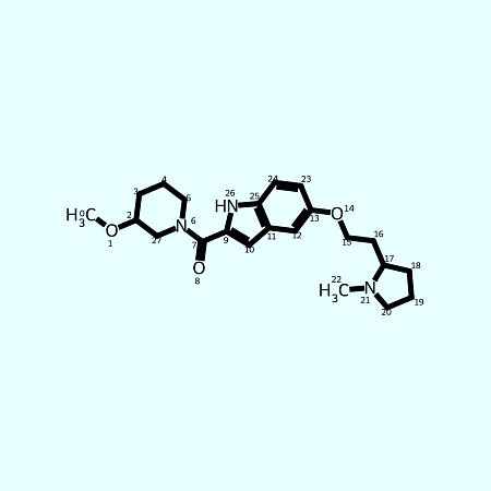 COC1CCCN(C(=O)c2cc3cc(OCCC4CCCN4C)ccc3[nH]2)C1